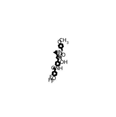 COc1ccc(CNC(=O)n2nc(-c3ccc(NC(=O)c4ccc(OC(F)(F)F)cc4)cc3O)cc2C2CC2)cc1